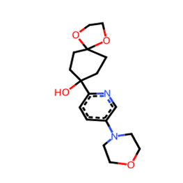 OC1(c2ccc(N3CCOCC3)cn2)CCC2(CC1)OCCO2